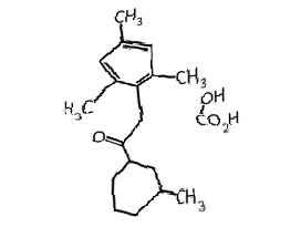 Cc1cc(C)c(CC(=O)C2CCCC(C)C2)c(C)c1.O=C(O)O